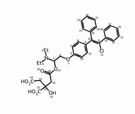 CCN(CC)C(COc1ccc(C(=C(Cl)c2ccccc2)c2ccccc2)cc1)OC(=O)CC(O)(CC(=O)O)C(=O)O